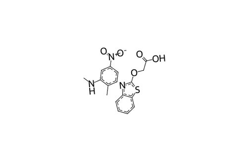 CNc1cc([N+](=O)[O-])ccc1C.O=C(O)COc1nc2ccccc2s1